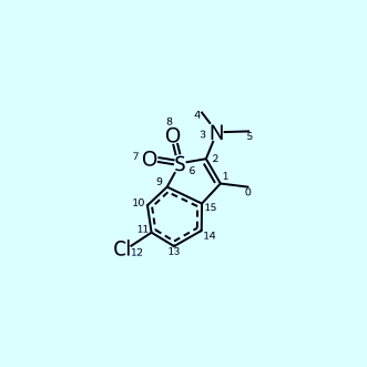 CC1=C(N(C)C)S(=O)(=O)c2cc(Cl)ccc21